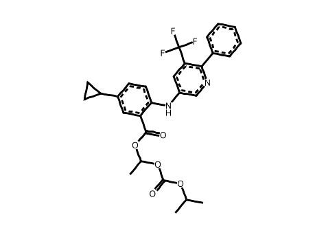 CC(C)OC(=O)OC(C)OC(=O)c1cc(C2CC2)ccc1Nc1cnc(-c2ccccc2)c(C(F)(F)F)c1